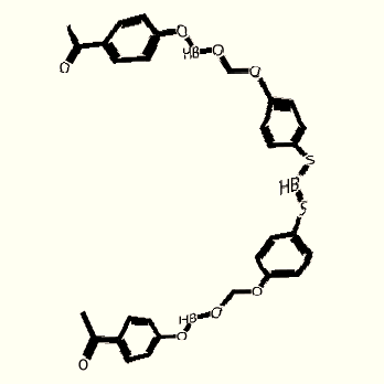 CC(=O)c1ccc(OBOCOc2ccc(SBSc3ccc(OCOBOc4ccc(C(C)=O)cc4)cc3)cc2)cc1